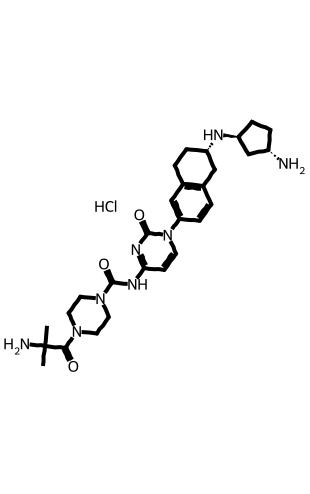 CC(C)(N)C(=O)N1CCN(C(=O)Nc2ccn(-c3ccc4c(c3)CC[C@H](N[C@H]3CC[C@H](N)C3)C4)c(=O)n2)CC1.Cl